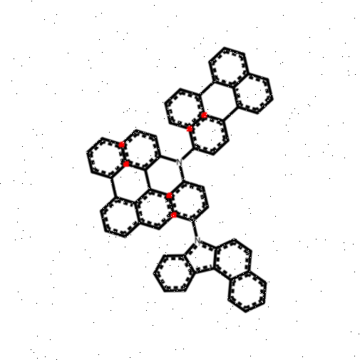 c1ccc(-c2cccc3cccc(-c4ccc(N(c5ccc(-n6c7ccccc7c7c8ccccc8ccc76)cc5)c5ccccc5-c5cccc6cccc(-c7ccccc7)c56)cc4)c23)cc1